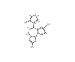 CCc1cc2n(c1)-c1ccc(Cl)cc1C(c1ccccc1F)=NC2